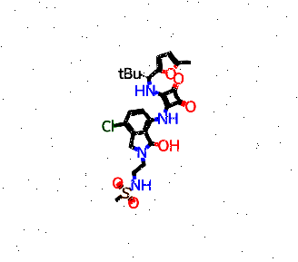 Cc1ccc([C@H](Nc2c(Nc3ccc(Cl)c4c3C(O)N(CCNS(C)(=O)=O)C4)c(=O)c2=O)C(C)(C)C)o1